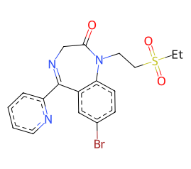 CCS(=O)(=O)CCN1C(=O)CN=C(c2ccccn2)c2cc(Br)ccc21